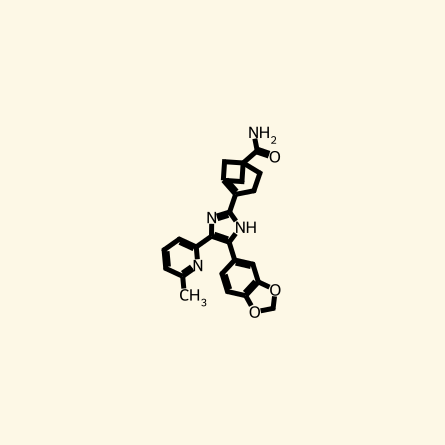 Cc1cccc(-c2nc(C3=C4CC(C(N)=O)(CC3)C4)[nH]c2-c2ccc3c(c2)OCO3)n1